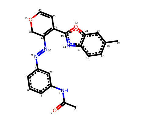 CC(=O)Nc1cccc(N=NC2=C(c3nc4ccc(C)cc4o3)C=COC2)c1